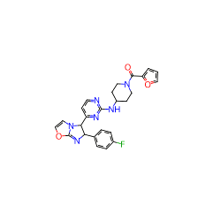 O=C(c1ccco1)N1CCC(Nc2nccc(C3C(c4ccc(F)cc4)N=C4OC=CN43)n2)CC1